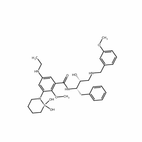 CCNc1cc(C(=O)N[C@@H](Cc2ccccc2)[C@H](O)CNCc2cccc(OC)c2)c(OC)c(N2CCCCS2(O)O)c1